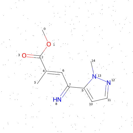 COC(=O)/C(C)=C/C(=N)c1ccnn1C